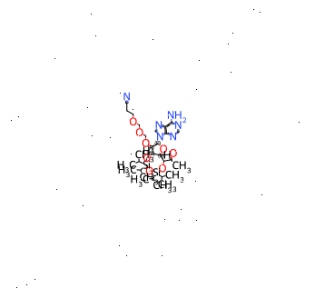 CC(=O)C1O[Si](C(C)C)(C(C)C)O[Si](C(C)C)(C(C)C)O[C@H]2[C@@H](OCOCOCCC#N)[C@H](n3cnc4c(N)ncnc43)O[C@H]12